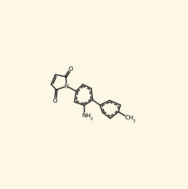 Cc1ccc(-c2ccc(N3C(=O)C=CC3=O)cc2N)cc1